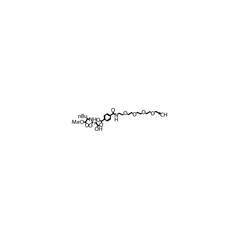 C#CCOCCOCCOCCOCCNC(=O)c1ccc(C2O[C@@H](O)[C@H](C(=O)N[C@@H](CCCC)C(=O)OC)O2)cc1